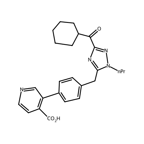 CCCn1nc(C(=O)C2CCCCC2)nc1Cc1ccc(-c2cnccc2C(=O)O)cc1